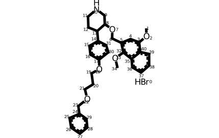 Br.COc1cc(COC2CNCCC2c2ccc(OCCCOCc3ccccc3)cc2)c(OC)c2ccccc12